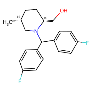 C[C@@H]1CC[C@@H](CO)N(C(c2ccc(F)cc2)c2ccc(F)cc2)C1